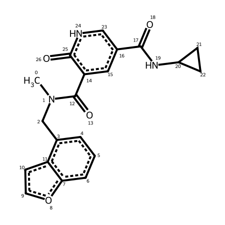 CN(Cc1cccc2occc12)C(=O)c1cc(C(=O)NC2CC2)c[nH]c1=O